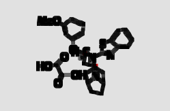 COc1cccc(OCCCN2C3CCC2CC(N(C)c2nc4ccccc4s2)C3)c1.O=C(O)C(=O)O